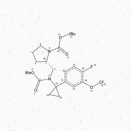 COC(=O)N(C[C@@H]1CCCN1C(=O)OC(C)(C)C)C1(c2ccc(F)c(OC(F)(F)F)c2)CC1